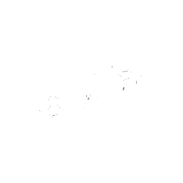 C#Cc1c(C(N)=O)ncn1[C@@H]1O[C@H](COP(=O)(O)OP(=O)(O)OC[C@H]2O[C@@H](n3cnc4c(N)ncnc43)[C@@H](O)C2O)C(O)[C@@H]1O